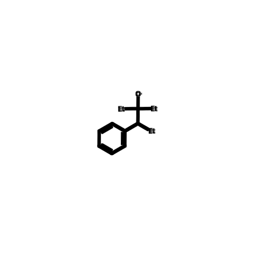 CCC(c1ccccc1)C([O])(CC)CC